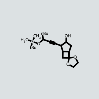 CCCCC(C#CC1C(O)CC2C1CC21OCCO1)O[Si](C)(C)C(C)(C)C